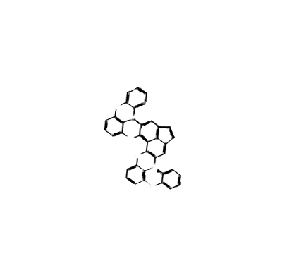 S=P12c3ccccc3Oc3cccc(c31)Oc1c2cc2c3c(cc4c(c13)Oc1cccc3c1P4(=S)c1ccccc1O3)C=C2